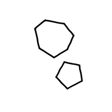 C1CCCC1.C1CCCCCC1